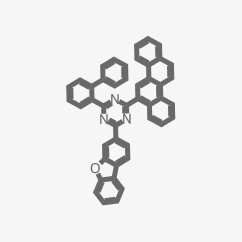 c1ccc(-c2ccccc2-c2nc(-c3ccc4c(c3)oc3ccccc34)nc(-c3cc4c5ccccc5ccc4c4ccccc34)n2)cc1